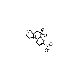 O=[N+]([O-])C1=CC=C2C(C1)S(=O)(=O)CC1CNCCN21